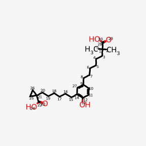 CC(C)(CCCCCCc1ccc(O)c(CCCCCCC2(C(=O)O)CC2)c1)C(=O)O